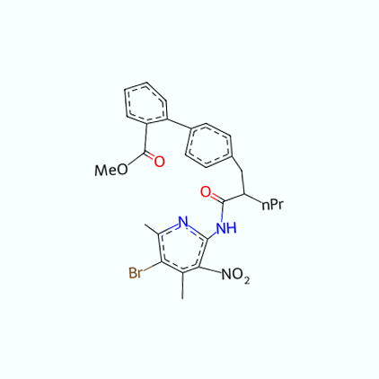 CCCC(Cc1ccc(-c2ccccc2C(=O)OC)cc1)C(=O)Nc1nc(C)c(Br)c(C)c1[N+](=O)[O-]